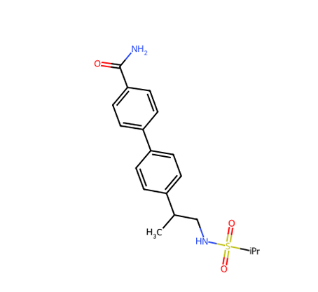 CC(CNS(=O)(=O)C(C)C)c1ccc(-c2ccc(C(N)=O)cc2)cc1